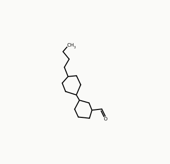 CCCCC1CCC(C2CCCC(C=O)C2)CC1